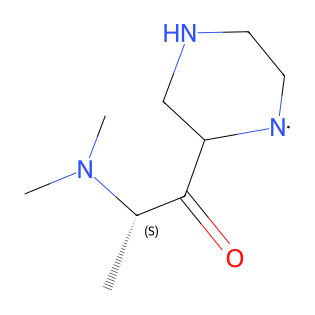 C[C@@H](C(=O)C1CNCC[N]1)N(C)C